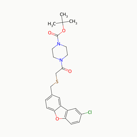 CC(C)(C)OC(=O)N1CCN(C(=O)CSCc2ccc3oc4ccc(Cl)cc4c3c2)CC1